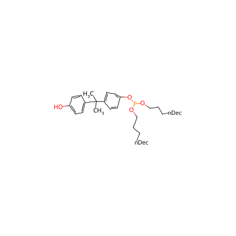 CCCCCCCCCCCCCOP(OCCCCCCCCCCCCC)Oc1ccc(C(C)(C)c2ccc(O)cc2)cc1